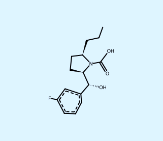 CCC[C@@H]1CC[C@H]([C@H](O)c2cccc(F)c2)N1C(=O)O